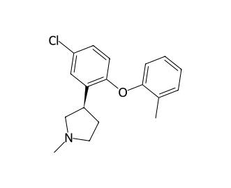 Cc1ccccc1Oc1ccc(Cl)cc1[C@H]1CCN(C)C1